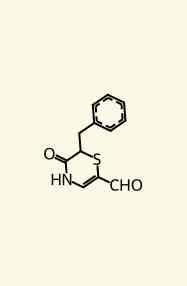 O=CC1=CNC(=O)C(Cc2ccccc2)S1